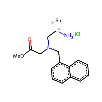 CC[C@H](C)[C@H](N)CN(CC(=O)OC)Cc1cccc2ccccc12.Cl